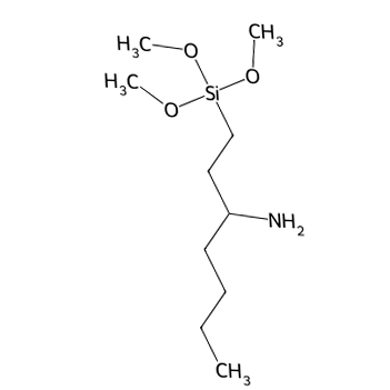 CCCCC(N)CC[Si](OC)(OC)OC